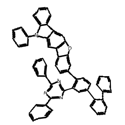 c1ccc(-c2nc(-c3ccccc3)nc(-c3cc(-c4ccccc4-c4ccccc4)ccc3-c3ccc4c(c3)oc3cc5c6ccccc6n(-c6ccccc6)c5cc34)n2)cc1